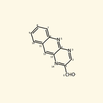 O=[C]c1cnc2nc3ccccc3cc2n1